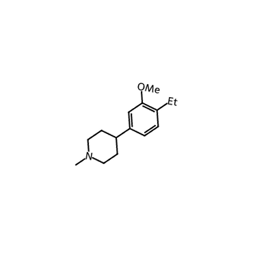 CCc1ccc(C2CCN(C)CC2)cc1OC